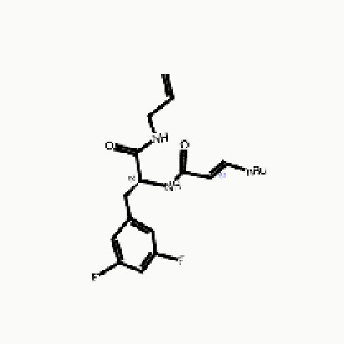 C=CCNC(=O)[C@H](Cc1cc(F)cc(F)c1)NC(=O)/C=C/CCCC